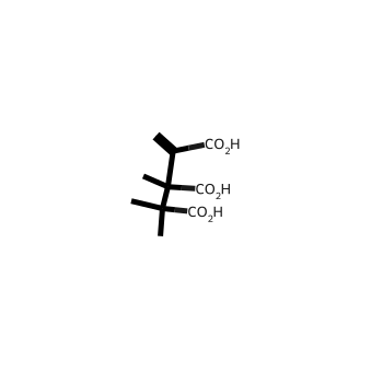 C=C(C(=O)O)C(C)(C(=O)O)C(C)(C)C(=O)O